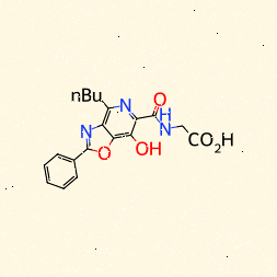 CCCCc1nc(C(=O)NCC(=O)O)c(O)c2oc(-c3ccccc3)nc12